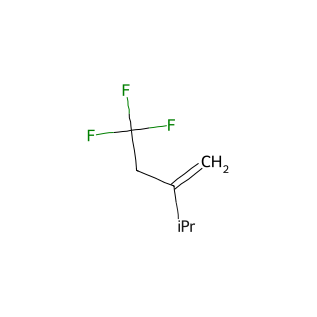 C=C(CC(F)(F)F)C(C)C